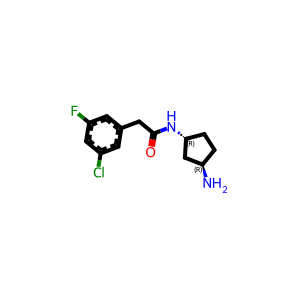 N[C@@H]1CC[C@@H](NC(=O)Cc2cc(F)cc(Cl)c2)C1